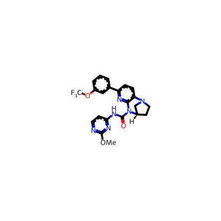 COc1nccc(NC(=O)N2c3nc(-c4cccc(OC(F)(F)F)c4)ccc3N3CC[C@H]2C3)n1